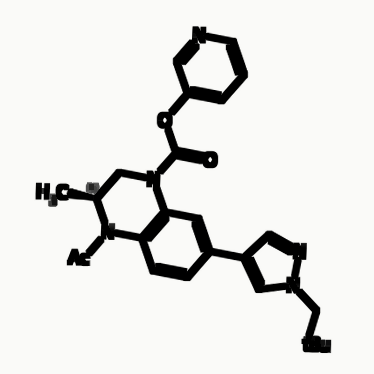 CC(=O)N1c2ccc(-c3cnn(CC(C)(C)C)c3)cc2N(C(=O)Oc2cccnc2)C[C@@H]1C